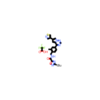 Cc1cc(-c2ncnn3cc(-c4cnsc4)cc23)ccc1CNC(=O)c1nc(C(C)(C)C)no1.O=C(O)C(F)(F)F